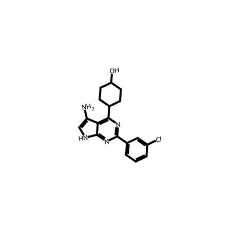 Nc1c[nH]c2nc(-c3cccc(Cl)c3)nc(C3CCC(O)CC3)c12